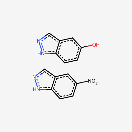 O=[N+]([O-])c1ccc2[nH]ncc2c1.Oc1ccc2[nH]ncc2c1